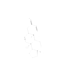 C[C@@]12CCC[C@H]1[C@@H]1CCC3CC(=NO)C=C[C@]3(C)[C@H]1CC2